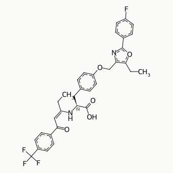 CCC(=CC(=O)c1ccc(C(F)(F)F)cc1)N[C@@H](Cc1ccc(OCc2nc(-c3ccc(F)cc3)oc2CC)cc1)C(=O)O